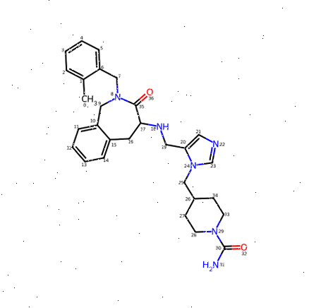 Cc1ccccc1CN1Cc2ccccc2CC(NCc2cncn2CC2CCN(C(N)=O)CC2)C1=O